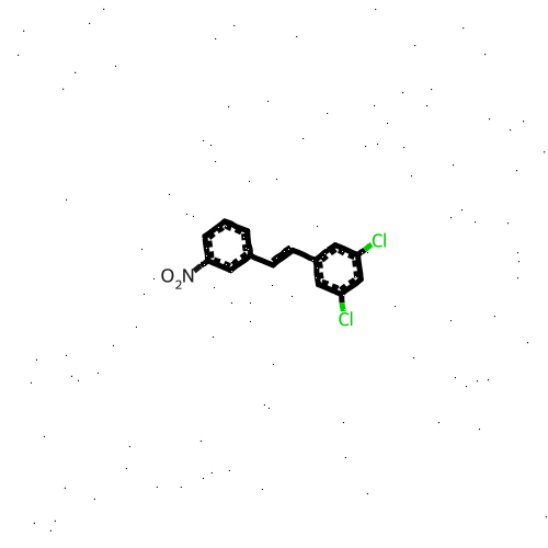 O=[N+]([O-])c1cccc(/C=C/c2cc(Cl)cc(Cl)c2)c1